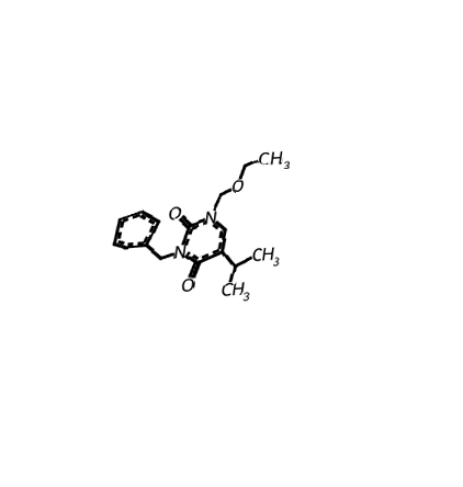 CCOCn1cc(C(C)C)c(=O)n(Cc2ccccc2)c1=O